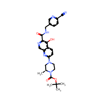 C[C@H]1CN(c2ccc3c(O)c(C(=O)NCc4ccc(C#N)nc4)ncc3n2)CCN1C(=O)OC(C)(C)C